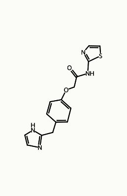 O=C(COc1ccc(Cc2ncc[nH]2)cc1)Nc1nccs1